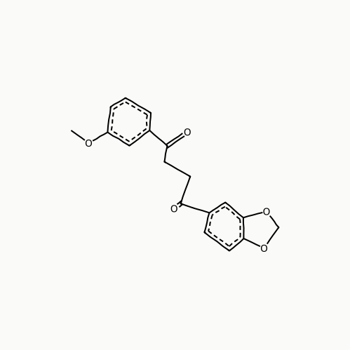 COc1cccc(C(=O)CCC(=O)c2ccc3c(c2)OCO3)c1